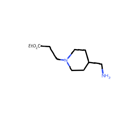 CCOC(=O)CCN1CCC(CN)CC1